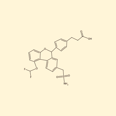 NS(=O)(=O)Cc1ccc2c(c1)C(c1ccc(CCC(=O)O)cc1)Oc1cccc(OC(F)F)c1-2